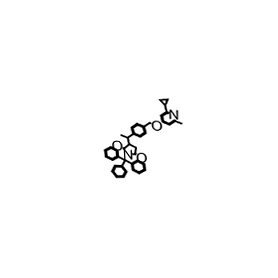 Cc1cc(OCc2ccc(C(C)C3CC(=O)N(C(c4ccccc4)(c4ccccc4)c4ccccc4)C3=O)cc2)cc(C2CC2)n1